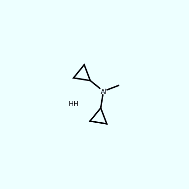 [CH3][Al]([CH]1CC1)[CH]1CC1.[HH]